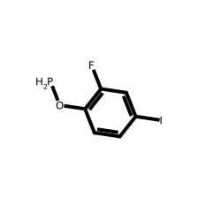 Fc1cc(I)ccc1OP